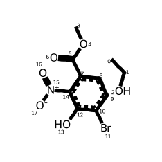 CCO.COC(=O)c1ccc(Br)c(O)c1[N+](=O)[O-]